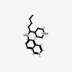 CCCCC(Nc1ccc2cnccc2c1)C1CCNCC1